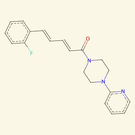 O=C(/C=C/C=C/c1ccccc1F)N1CCN(c2ccccn2)CC1